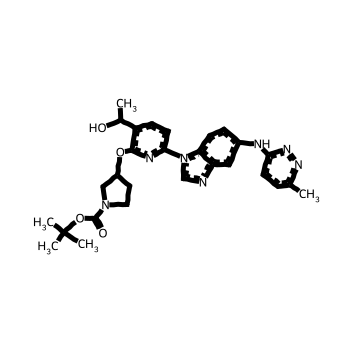 Cc1ccc(Nc2ccc3c(c2)ncn3-c2ccc(C(C)O)c(OC3CCN(C(=O)OC(C)(C)C)C3)n2)nn1